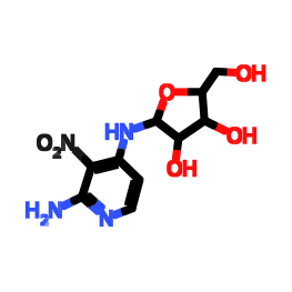 Nc1nccc(NC2OC(CO)C(O)C2O)c1[N+](=O)[O-]